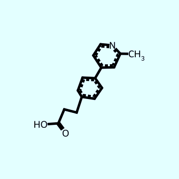 Cc1cc(-c2ccc(CCC(=O)O)cc2)ccn1